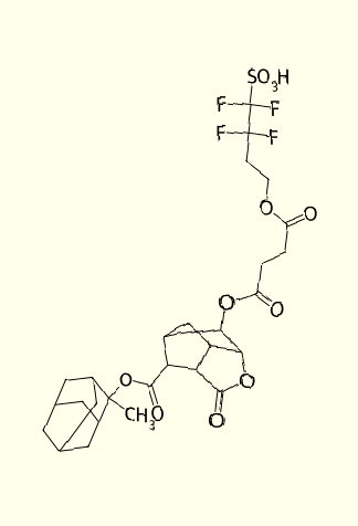 CC1(OC(=O)C2C3CC4C(OC(=O)C42)C3OC(=O)CCC(=O)OCCC(F)(F)C(F)(F)S(=O)(=O)O)C2CC3CC(C2)CC1C3